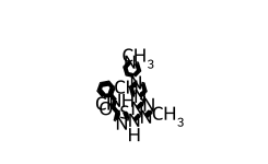 Cc1nc(Nc2ncc(C(=O)Nc3c(C)cccc3Cl)s2)nc(N2CCN(C3CCN(C)CC3)CC2)n1